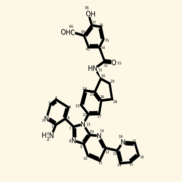 Nc1ncccc1-c1nc2ccc(-c3ccccn3)nc2n1-c1ccc2c(c1)CC[C@@H]2NC(=O)c1ccc(O)c(C=O)c1